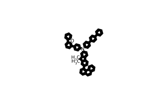 CC1(C)c2cc(-c3cccc4ccc5ccccc5c34)ccc2-c2ccc(N(c3ccc(-c4ccc(-c5ccccc5)cc4)cc3)c3ccc(-c4cccc5c4oc4ccccc45)cc3)cc21